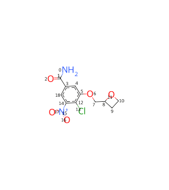 NC(=O)c1cc(OCC2CCO2)c(Cl)c([N+](=O)[O-])c1